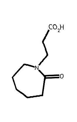 O=C(O)CCN1CCCCCC1=O